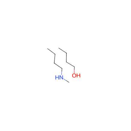 CCCCNC.CCCCO